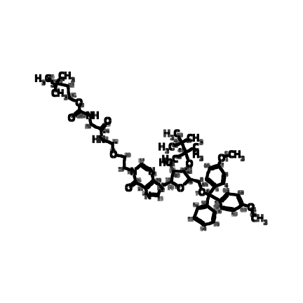 COc1ccc(C(OC[C@H]2O[C@@H](n3cnc4c(=O)n(CCOCNC(=O)CNC(=O)OCC[Si](C)(C)C)cnc43)[C@H](O)[C@@H]2OC(C)(C)C(C)(C)C)(c2ccccc2)c2ccc(OC)cc2)cc1